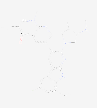 CNc1cc(F)cc2c1[nH]c1nc(N3CC(C)C(N(C)C)C3)c(-c3cnc4c(c3)c(=O)c(C(=O)O)cn4C)cc12